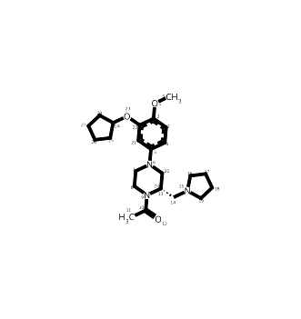 COc1ccc(N2CCN(C(C)=O)[C@@H](CN3CCCC3)C2)cc1OC1CCCC1